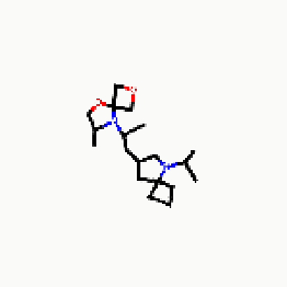 CC(C)N1CC(CC(C)N2C(C)COC23COC3)CC12CCC2